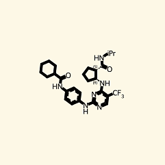 CC(C)NC(=O)[C@H]1CCC[C@H]1Nc1nc(Nc2ccc(NC(=O)C3CCCCC3)cc2)ncc1C(F)(F)F